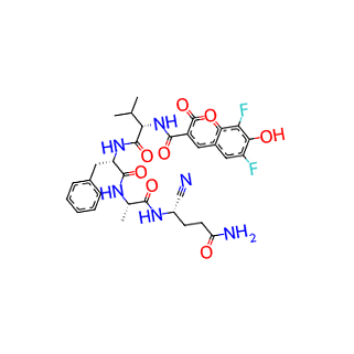 CC(C)[C@H](NC(=O)c1cc2cc(F)c(O)c(F)c2oc1=O)C(=O)N[C@@H](Cc1ccccc1)C(=O)N[C@@H](C)C(=O)N[C@H](C#N)CCC(N)=O